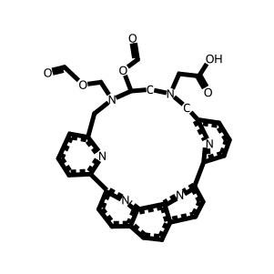 O=COCN1Cc2cccc(n2)-c2ccc3ccc4ccc(nc4c3n2)-c2cccc(n2)CN(CC(=O)O)CC1OC=O